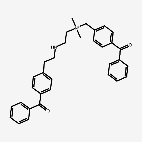 C[N+](C)(CCNCCc1ccc(C(=O)c2ccccc2)cc1)Cc1ccc(C(=O)c2ccccc2)cc1